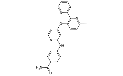 Cc1ccc(Oc2ccnc(Nc3ccc(C(N)=O)cc3)c2)c(-c2ccccn2)n1